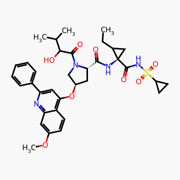 CCC1C[C@]1(NC(=O)[C@@H]1C[C@@H](Oc2cc(-c3ccccc3)nc3cc(OC)ccc23)CN1C(=O)C(O)C(C)C)C(=O)NS(=O)(=O)C1CC1